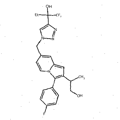 CCC(O)(c1cn(Cc2ccn3c(-c4ccc(F)cc4)c(C(C)CO)cc3c2)nn1)C(F)(F)F